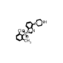 Cc1cccc(Cl)c1S(=O)(=O)n1cnc2c(N3CCNCC3)cccc21